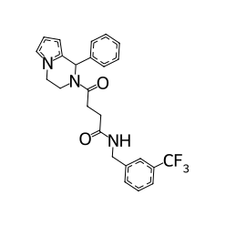 O=C(CCC(=O)N1CCn2cccc2C1c1ccccc1)NCc1cccc(C(F)(F)F)c1